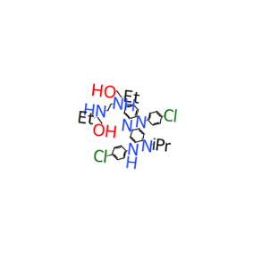 CC(C)/N=c1\cc2n(-c3ccc(Cl)cc3)c3ccccc3nc-2cc1Nc1ccc(Cl)cc1.CC[C@@H](CO)NCCN[C@@H](CC)CO